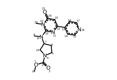 COC(=O)N1CCC(N(C)c2nc(-c3ccncc3)cc(=O)n2C)C1